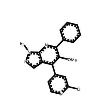 CCn1ncc2c(-c3ccnc(Cl)c3)c(OC)c(-c3ccccc3)nc21